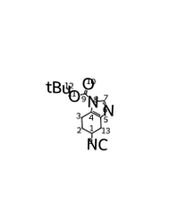 [C-]#[N+]C1CCc2c(ncn2C(=O)OC(C)(C)C)C1